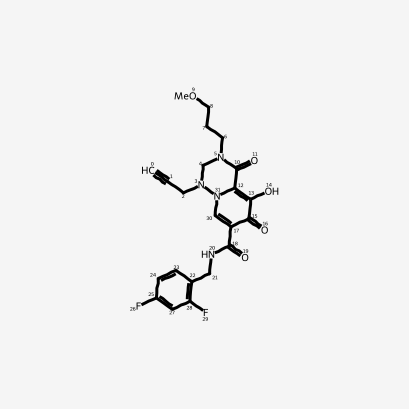 C#CCN1CN(CCCOC)C(=O)c2c(O)c(=O)c(C(=O)NCc3ccc(F)cc3F)cn21